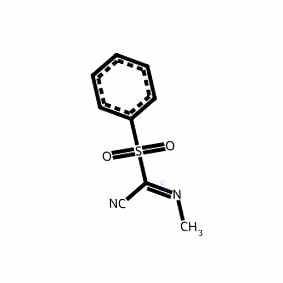 C/N=C(\C#N)S(=O)(=O)c1ccccc1